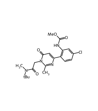 COC(=O)Nc1cc(Cl)ccc1-c1cc(=O)n(CC(=O)N(C)C(C)(C)C)c(C)n1